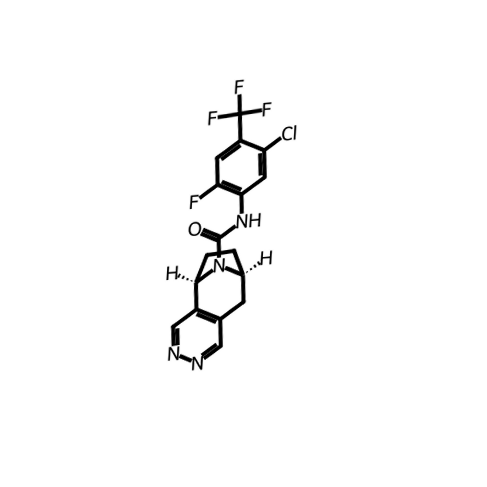 O=C(Nc1cc(Cl)c(C(F)(F)F)cc1F)N1[C@H]2CC[C@@H]1c1cnncc1C2